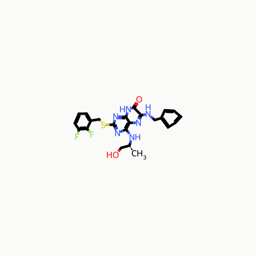 C[C@H](CO)Nc1nc(SCc2cccc(F)c2F)nc2[nH]c(=O)c(NCc3ccccc3)nc12